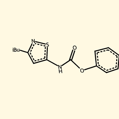 CCC(C)c1cc(NC(=O)Oc2ccccc2)sn1